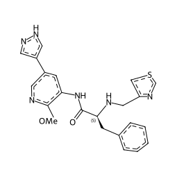 COc1ncc(-c2cn[nH]c2)cc1NC(=O)[C@H](Cc1ccccc1)NCc1cscn1